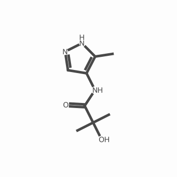 Cc1[nH]ncc1NC(=O)C(C)(C)O